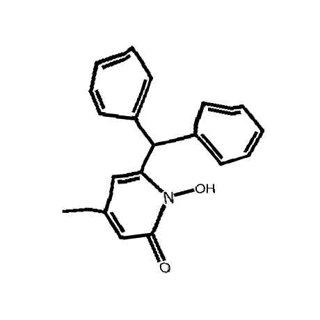 Cc1cc(C(c2ccccc2)c2ccccc2)n(O)c(=O)c1